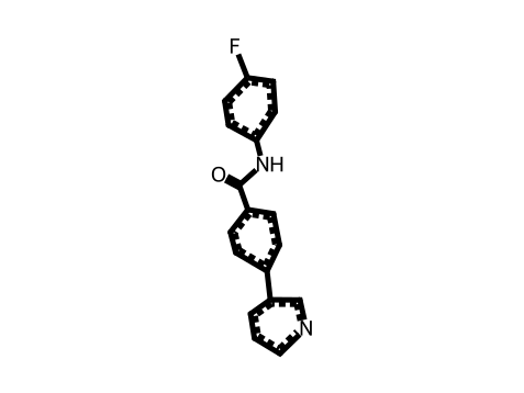 O=C(Nc1ccc(F)cc1)c1ccc(-c2cccnc2)cc1